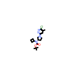 Cc1cc(N2CC[C@H](N(C(=O)OC(C)(C)C)C3CCC3)C2)nnc1Cl